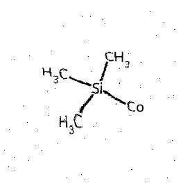 C[Si](C)(C)[Co]